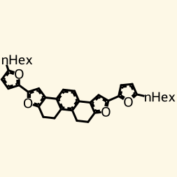 CCCCCCc1ccc(-c2cc3c(o2)CCc2c-3ccc3c2CCc2oc(-c4ccc(CCCCCC)o4)cc2-3)o1